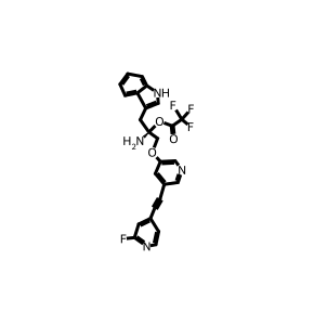 N[C@@](COc1cncc(C#Cc2ccnc(F)c2)c1)(Cc1c[nH]c2ccccc12)OC(=O)C(F)(F)F